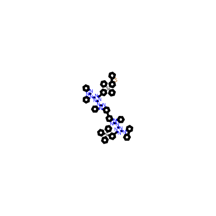 c1ccc([Si](c2ccccc2)(c2ccccc2)c2cccc(-c3nc(-n4c5ccccc5c5ccccc54)nc(-n4c5ccccc5n5c6cc(-c7ccc8nc9n(-c%10nc(-c%11ccc([Si](c%12ccccc%12)(c%12ccccc%12)c%12ccc%13sc%14ccccc%14c%13c%12)cc%11)nc(-n%11c%12ccccc%12n%12c%13ccccc%13nc%11%12)n%10)c%10ccccc%10n9c8c7)ccc6nc45)n3)c2)cc1